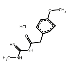 CNC(=N)NC(=O)Cc1ccc(OC)cc1.Cl